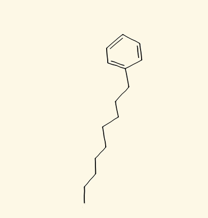 ClCCCCCCCCc1ccccc1